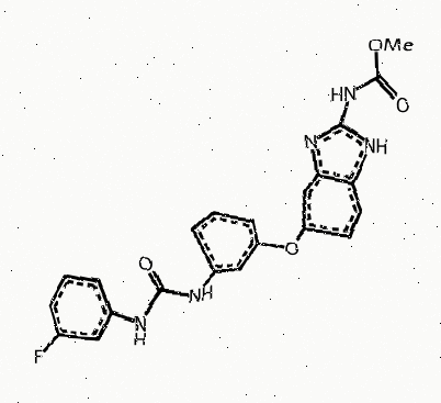 COC(=O)Nc1nc2cc(Oc3cccc(NC(=O)Nc4cccc(F)c4)c3)ccc2[nH]1